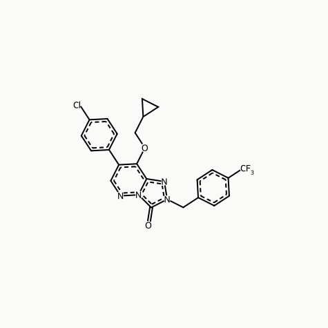 O=c1n(Cc2ccc(C(F)(F)F)cc2)nc2c(OCC3CC3)c(-c3ccc(Cl)cc3)cnn12